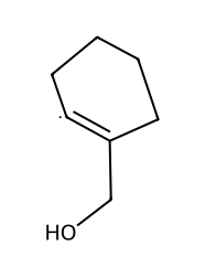 OCC1=[C]CCCC1